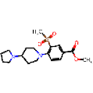 COC(=O)c1ccc(N2CCC(N3CCCC3)CC2)c(S(C)(=O)=O)c1